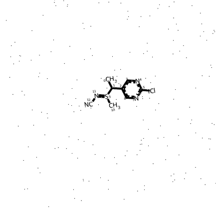 CC(c1cnc(Cl)nc1)/S(C)=N/C#N